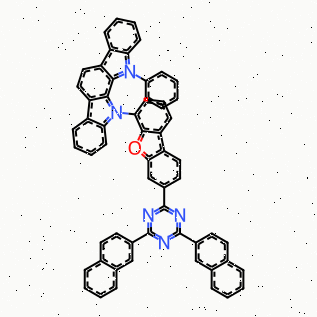 c1ccc(-n2c3ccccc3c3ccc4c5ccccc5n(-c5cccc6c5oc5cc(-c7nc(-c8ccc9ccccc9c8)nc(-c8ccc9ccccc9c8)n7)ccc56)c4c32)cc1